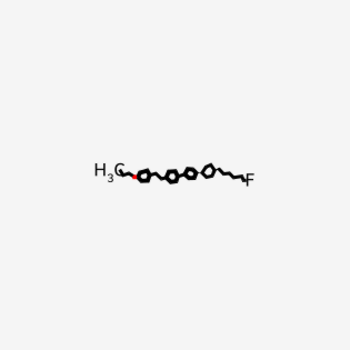 CCCCc1ccc(CCc2ccc(-c3ccc([C@H]4CC[C@H](CCCCCCF)CC4)cc3)cc2)cc1